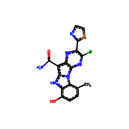 Cc1ccc(O)c2[nH]c3c(C(N)=O)c4nc(-c5nccs5)c(Br)nc4n3c12